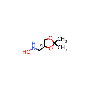 CC1(C)OC[C@H](CNO)O1